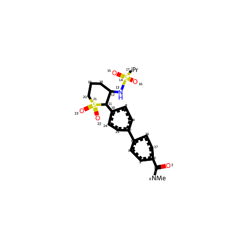 CNC(=O)c1ccc(-c2ccc(C3C(NS(=O)(=O)C(C)C)CCCS3(=O)=O)cc2)cc1